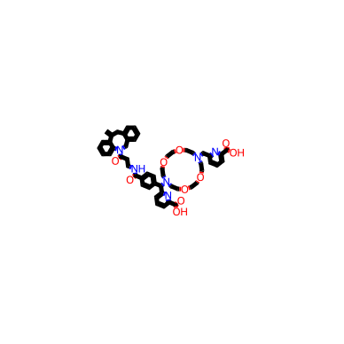 C=C1Cc2ccccc2CN(C(=O)CCNC(=O)c2ccc(C(c3cccc(C(=O)O)n3)N3CCOCCOCCN(Cc4cccc(C(=O)O)n4)CCOCCOCC3)cc2)c2ccccc21